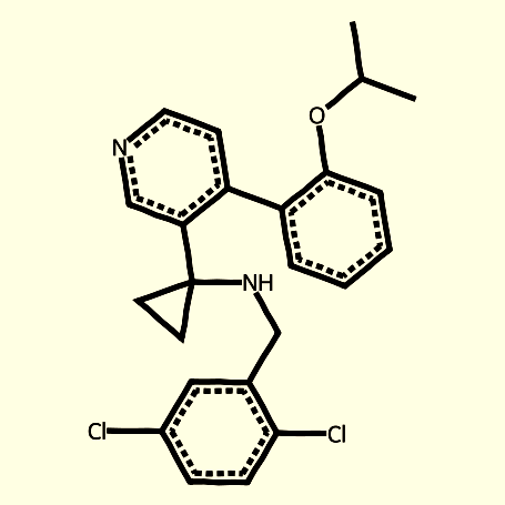 CC(C)Oc1ccccc1-c1ccncc1C1(NCc2cc(Cl)ccc2Cl)CC1